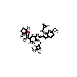 COc1ccc2cc(-c3nc4cc(C(=O)N5C[C@H]6CC[C@@H]5[C@@H]6N)cnc4n3C[C@H]3C[C@@](C)(OC)C3)n(CC3CC3)c2n1